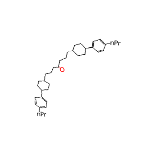 CCCc1ccc(C2CCC(CCCC(=O)CCC[C@H]3CC[C@H](c4ccc(CCC)cc4)CC3)CC2)cc1